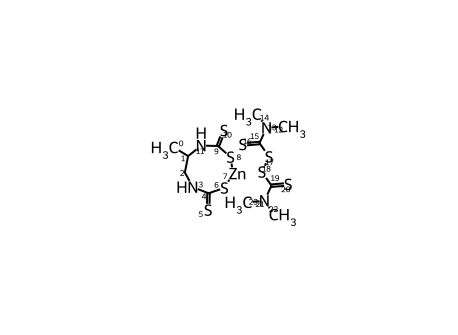 CC1CNC(=S)[S][Zn][S]C(=S)N1.CN(C)C(=S)SSC(=S)N(C)C